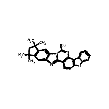 CC(C)(C)c1nc2c(ccc3oc4ccccc4c32)c2nc3cc4c(cc3n12)C(C)(C)CC4(C)C